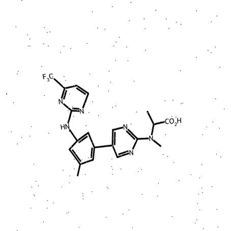 Cc1cc(Nc2nccc(C(F)(F)F)n2)cc(-c2cnc(N(C)C(C)C(=O)O)nc2)c1